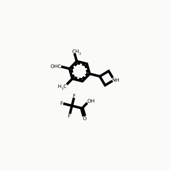 Cc1cc(C2CNC2)cc(C)c1C=O.O=C(O)C(F)(F)F